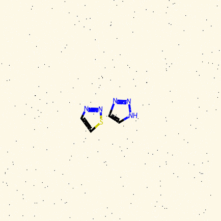 c1c[nH]nn1.c1csnn1